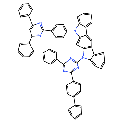 c1ccc(-c2ccc(-c3nc(-c4ccccc4)nc(-n4c5ccccc5c5cc6c7ccccc7n(-c7ccc(-c8nc(-c9ccccc9)cc(-c9ccccc9)n8)cc7)c6cc54)n3)cc2)cc1